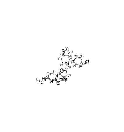 Nc1ccn([C@@H]2O[C@H](CN3CCc4sccc4C3c3ccc(Cl)cc3)CC2(F)F)c(=O)n1